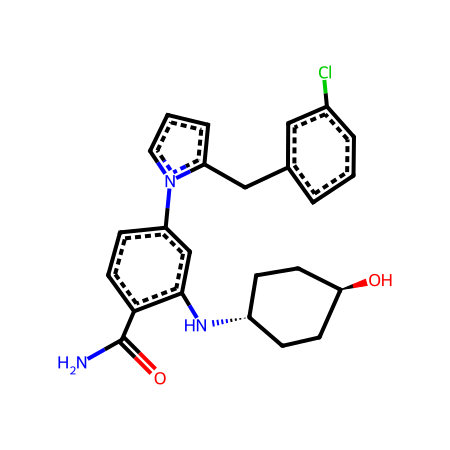 NC(=O)c1ccc(-n2cccc2Cc2cccc(Cl)c2)cc1N[C@H]1CC[C@H](O)CC1